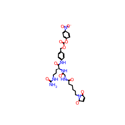 NC(=O)NCCC[C@H](NC(=O)CNC(=O)CCCCCN1C(=O)C=CC1=O)C(=O)Nc1ccc(COC(=O)Oc2ccc([N+](=O)[O-])cc2)cc1